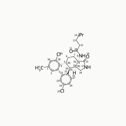 Cc1ccc([C@@H]2CC[C@@]3(NC(=O)CCC(C)C)C(=O)NC[C@H]3[C@H]2c2ccc(Cl)cc2)c(Cl)c1